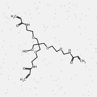 C=CC(=O)NCCOCC(COO)(COCCNC(=O)C=C)COCCOCNC(=O)C=C